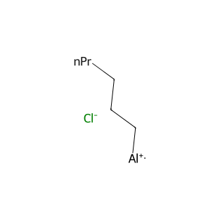 CCCCC[CH2][Al+].[Cl-]